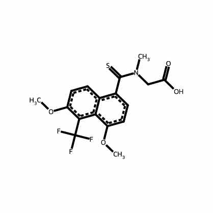 COc1ccc2c(C(=S)N(C)CC(=O)O)ccc(OC)c2c1C(F)(F)F